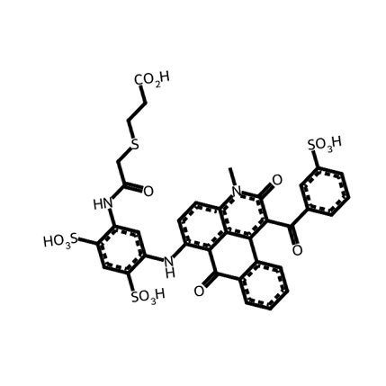 Cn1c(=O)c(C(=O)c2cccc(S(=O)(=O)O)c2)c2c3c(c(Nc4cc(NC(=O)CSCCC(=O)O)c(S(=O)(=O)O)cc4S(=O)(=O)O)ccc31)C(=O)c1ccccc1-2